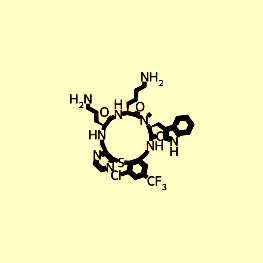 CN1C(=O)[C@H](CCCCN)NC(=O)[C@H](CCCN)NCc2nccnc2Sc2c(Cl)cc(C(F)(F)F)cc2CNC(=O)[C@@H]1Cc1c[nH]c2ccccc12